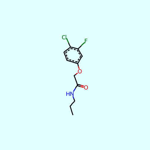 CCCNC(=O)COc1ccc(Cl)c(F)c1